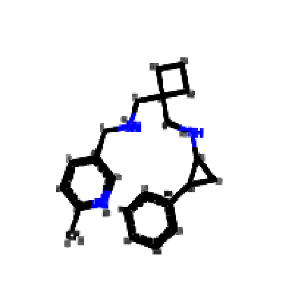 FC(F)(F)c1ccc(CNCC2(CNC3CC3c3ccccc3)CCC2)cn1